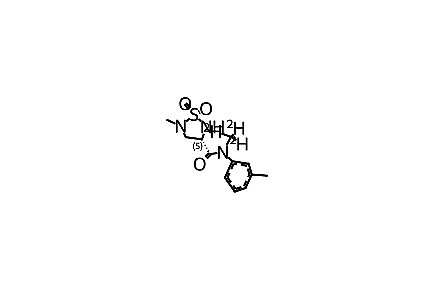 [2H]C([2H])([2H])N(C(=O)[C@@H]1CN(C)S(=O)(=O)N1)c1cccc(C)c1